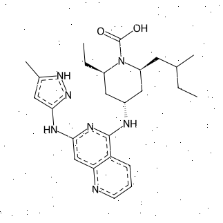 CCC(C)C[C@H]1C[C@H](Nc2nc(Nc3cc(C)[nH]n3)cc3ncccc23)C[C@@H](CC)N1C(=O)O